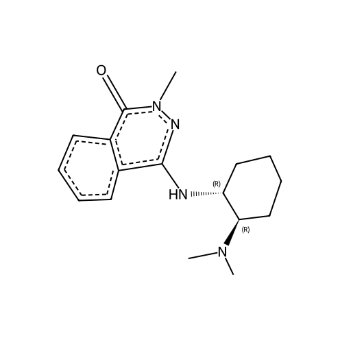 CN(C)[C@@H]1CCCC[C@H]1Nc1nn(C)c(=O)c2ccccc12